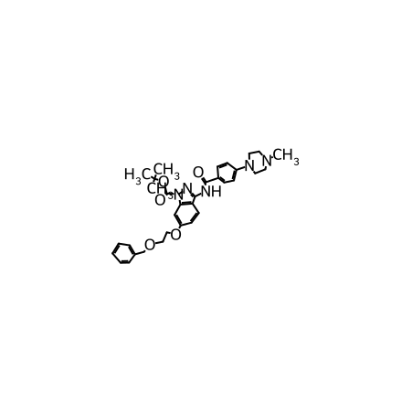 CN1CCN(c2ccc(C(=O)Nc3nn(C(=O)OC(C)(C)C)c4cc(OCCOCc5ccccc5)ccc34)cc2)CC1